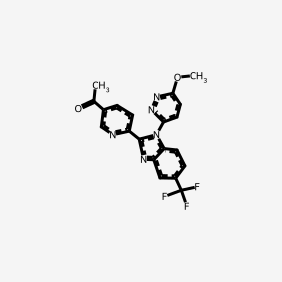 COc1ccc(-n2c(-c3ccc(C(C)=O)cn3)nc3cc(C(F)(F)F)ccc32)nn1